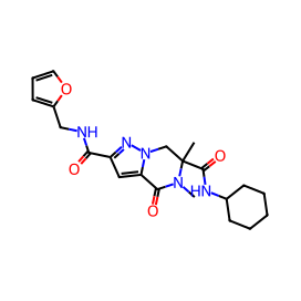 CN1C(=O)c2cc(C(=O)NCc3ccco3)nn2CC1(C)C(=O)NC1CCCCC1